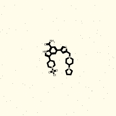 CCS(=O)(=O)N1CCC(c2c[nH]c3c(C(N)=O)cc(-c4csc(CN5CCC(N6CCCC6)CC5)c4)cc23)CC1